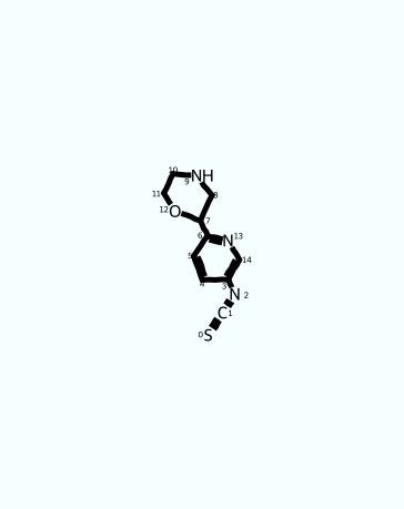 S=C=Nc1ccc(C2CNCCO2)nc1